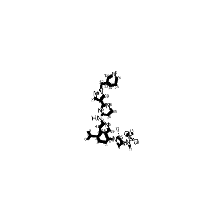 CC(C)c1ccc(N2C[C@H](N(C)S(C)(=O)=O)[C@H]2C)c2cnc(Nc3ccnc(-c4cnn(Cc5cccnc5)c4)n3)cc12